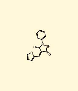 O=C1NN(c2ccccc2)C(=O)C1=Cc1ccco1